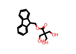 O=C(OCC1c2ccccc2-c2ccccc21)C(CO)(CO)CO